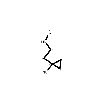 CCNCCC1(C#N)CC1